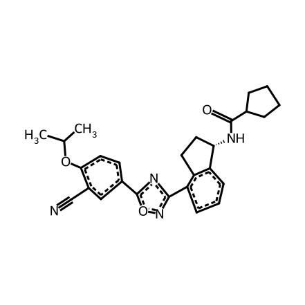 CC(C)Oc1ccc(-c2nc(-c3cccc4c3CC[C@@H]4NC(=O)C3CCCC3)no2)cc1C#N